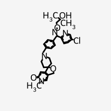 Cn1cc2c(cc1=O)C1(CCN(Cc3ccc(C(=NOCC(C)(C)O)c4ccc(Cl)cn4)cc3)CC1)OC2